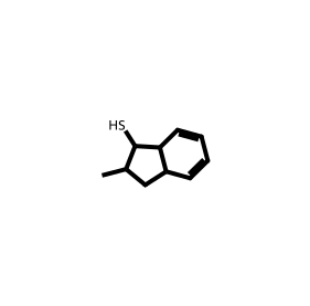 CC1CC2C=CC=CC2C1S